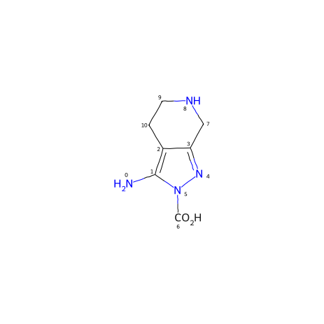 Nc1c2c(nn1C(=O)O)CNCC2